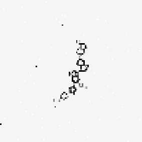 Cc1nn2c(-c3ccnc4cc(N5CCN6C(=O)CCC6C5)ccc34)cnc2cc1-c1cnn([C@H]2CC[C@H](O)CC2)c1